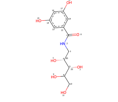 O=C(NC[C@@H](O)[C@H](O)C(O)CO)c1cc(O)cc(O)c1